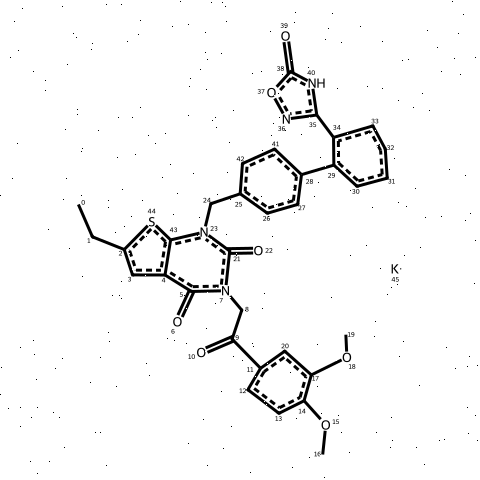 CCc1cc2c(=O)n(CC(=O)c3ccc(OC)c(OC)c3)c(=O)n(Cc3ccc(-c4ccccc4-c4noc(=O)[nH]4)cc3)c2s1.[K]